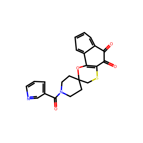 O=C1C(=O)c2ccccc2C2=C1SCC1(CCN(C(=O)c3cccnc3)CC1)O2